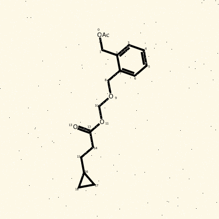 CC(=O)OCc1ccccc1COCOC(=O)CCC1CC1